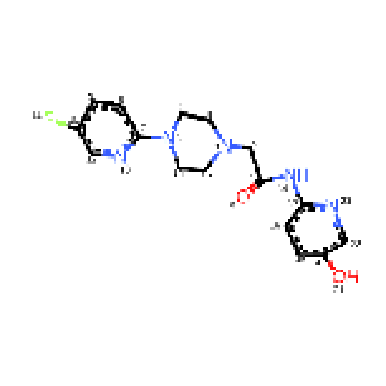 O=C(CN1CCN(c2ccc(F)cn2)CC1)Nc1ccc(O)cn1